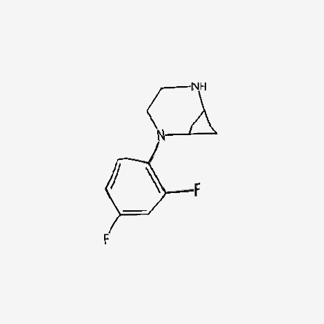 Fc1ccc(N2CCNC3CC32)c(F)c1